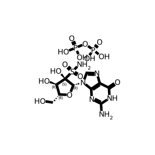 Nc1nc2c(ncn2[C@@H]2O[C@H](CO)[C@@H](O)[C@]2(O)S(N)(=O)=O)c(=O)[nH]1.O=P(O)(O)OP(=O)(O)O